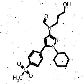 CS(=O)(=O)c1ccc(-c2cc(N(C=O)CCCO)nn2C2CCCCC2)cc1